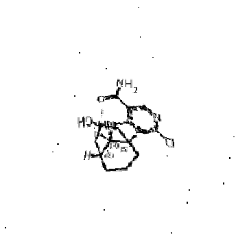 C[C@@]1(O)C[C@H]2CCC[C@@H](C1)[C@H]2Nc1cc(Cl)ncc1C(N)=O